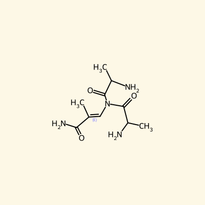 C/C(=C\N(C(=O)C(C)N)C(=O)C(C)N)C(N)=O